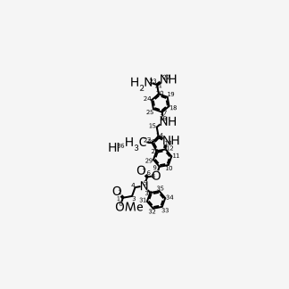 COC(=O)CCN(C(=O)Oc1ccc2[nH]c(CNc3ccc(C(=N)N)cc3)c(C)c2c1)c1ccccc1.I